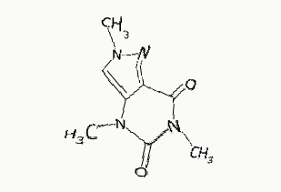 Cn1cc2c(n1)c(=O)n(C)c(=O)n2C